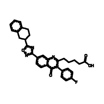 O=C(O)CCCCc1nc2cc(-c3noc(C4CCc5ccccc5C4)n3)ccc2c(=O)n1-c1ccc(F)cc1